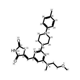 COCCN(C)c1cc(/C=C2\SC(=O)NC2=O)nc(N2CCN(c3ccc(C)cc3)CC2)n1